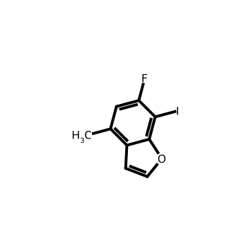 Cc1cc(F)c(I)c2occc12